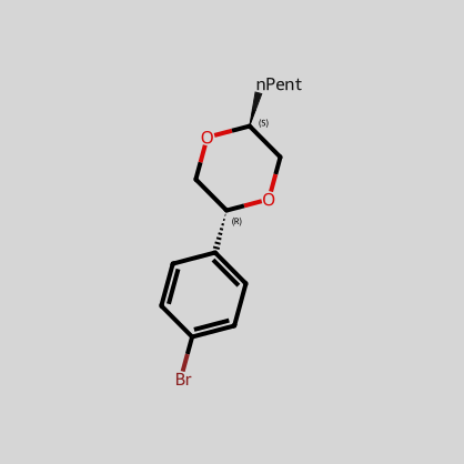 CCCCC[C@H]1CO[C@H](c2ccc(Br)cc2)CO1